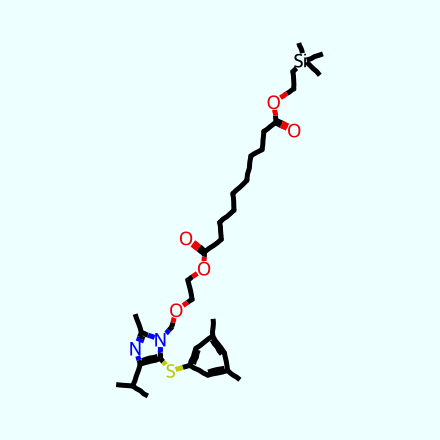 Cc1cc(C)cc(Sc2c(C(C)C)nc(C)n2COCCOC(=O)CCCCCCCCC(=O)OCC[Si](C)(C)C)c1